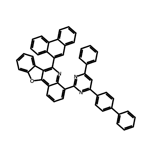 c1ccc(-c2ccc(-c3cc(-c4ccccc4)nc(-c4cccc5c4nc(-c4cc6ccccc6c6ccccc46)c4c6ccccc6oc54)n3)cc2)cc1